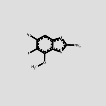 [2H]c1cc2sc(N)nc2c(OC)c1F